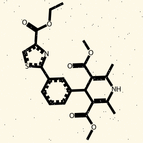 CCOC(=O)c1csc(-c2cccc(C3C(C(=O)OC)=C(C)NC(C)=C3C(=O)OC)c2)n1